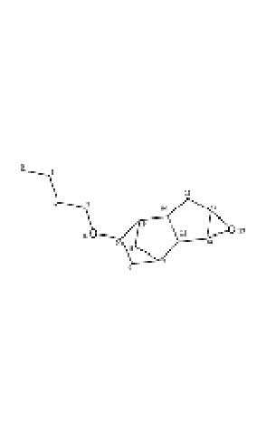 CCCCOC1CC2CC1C1CC3OC3C21